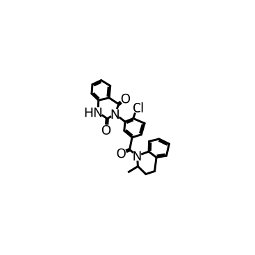 CC1CCc2ccccc2N1C(=O)c1ccc(Cl)c(-n2c(=O)[nH]c3ccccc3c2=O)c1